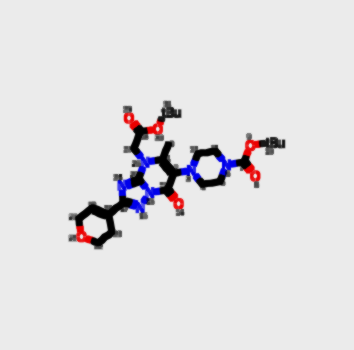 Cc1c(N2CCN(C(=O)OC(C)(C)C)CC2)c(=O)n2nc(C3=CCOCC3)nc2n1CC(=O)OC(C)(C)C